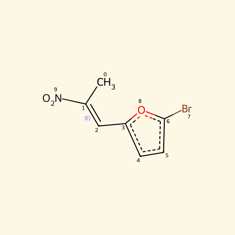 C/C(=C\c1ccc(Br)o1)[N+](=O)[O-]